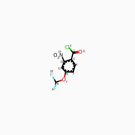 O=C(Cl)c1ccc(OC(F)F)cc1[N+](=O)[O-]